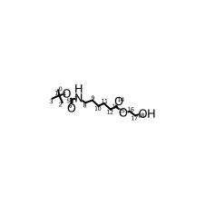 CC(C)(C)OC(=O)NCCCCCC(=O)OCCO